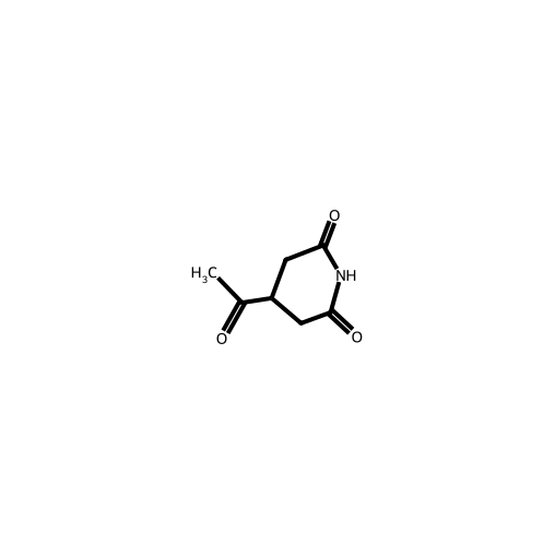 CC(=O)C1CC(=O)NC(=O)C1